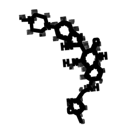 Cc1cc(CNc2ccc3[nH]c(=O)c(-c4nc5ccc(N6CCN(C)CC6)cc5[nH]4)c(N)c3c2)no1